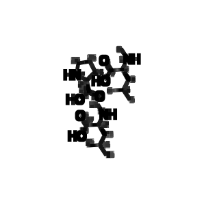 CN[C@@H](CC(C)C)C(=O)O.CN[C@@H](CC(C)C)C(=O)O.O=C(O)[C@@H]1CCCN1